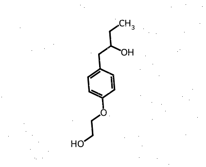 CCC(O)Cc1ccc(OCCO)cc1